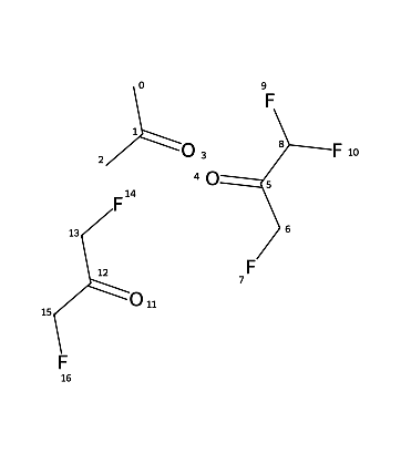 CC(C)=O.O=C(CF)C(F)F.O=C(CF)CF